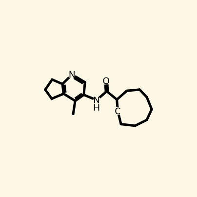 Cc1c(NC(=O)C2CCCCCCCC2)cnc2c1CCC2